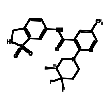 C[C@H]1CN(c2ncc(C(F)(F)F)cc2C(=O)Nc2ccc3c(c2)S(=O)(=O)NC3)CCC1(F)F